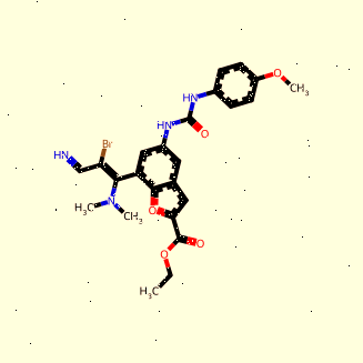 CCOC(=O)c1cc2cc(NC(=O)Nc3ccc(OC)cc3)cc(/C(=C(\Br)C=N)N(C)C)c2o1